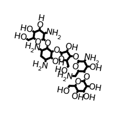 NCC1OC(OC2C(CO)OC(OC3C(O)C(N)CC(N)C3OC3OC(CO)C(O)C(O)C3N)C2O)C(N)C(O)C1OC1OC(CO)C(O)C(O)C1O